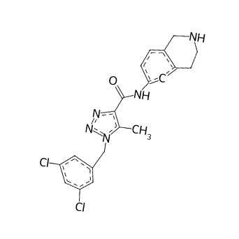 Cc1c(C(=O)Nc2ccc3c(c2)CCNC3)nnn1Cc1cc(Cl)cc(Cl)c1